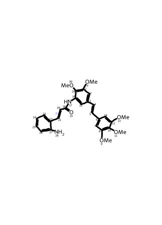 COc1cc(C=Cc2cc(OC)c(OC)c(OC)c2)cc(NC(=O)/C=C/c2ccccc2N)c1OC